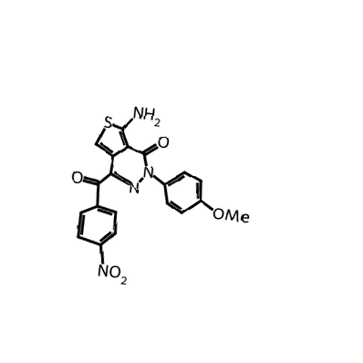 COc1ccc(-n2nc(C(=O)c3ccc([N+](=O)[O-])cc3)c3csc(N)c3c2=O)cc1